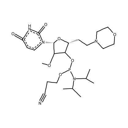 COC1C(OP(OCCC#N)N(C(C)C)C(C)C)[C@@H](CCN2CCOCC2)O[C@H]1n1ccc(=O)[nH]c1=O